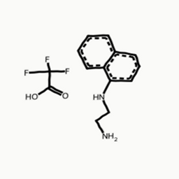 NCCNc1cccc2ccccc12.O=C(O)C(F)(F)F